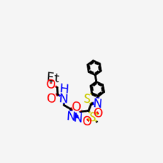 CCOCC(=O)NCc1nnc(C(c2nc3ccc(-c4ccccc4)cc3s2)S(C)(=O)=O)o1